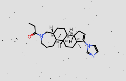 CCC(=O)N1CCC[C@@]2(C)[C@@H](CC[C@@H]3[C@@H]2CC[C@]2(C)C(n4ccnc4)=CC[C@@H]32)C1